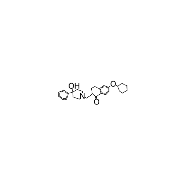 O=C1c2ccc(OC3CCCCC3)cc2CCC1CN1CCC(O)(c2ccccc2)CC1